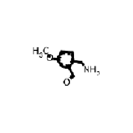 COc1ccc(CN)c(C=O)c1